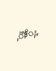 O=S(=O)(Nc1ccc(F)cc1F)c1ccc(C(F)(F)F)cc1